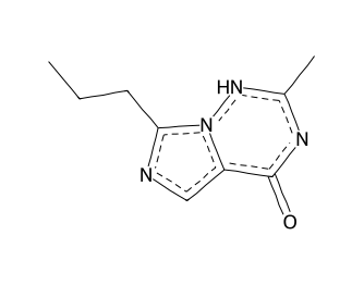 CCCc1ncc2c(=O)nc(C)[nH]n12